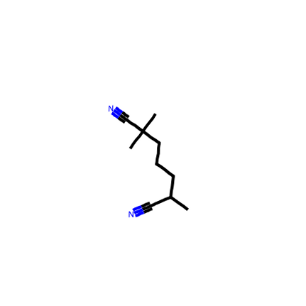 CC(C#N)CCCC(C)(C)C#N